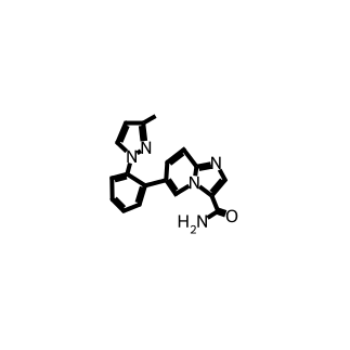 Cc1ccn(-c2ccccc2-c2ccc3ncc(C(N)=O)n3c2)n1